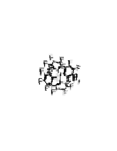 Cc1c(F)c(F)c(F)c(F)c1[B-](c1c(F)c(F)c(F)c(F)c1F)(c1c(F)c(F)c(F)c(F)c1F)c1c(F)c(F)c(F)c(F)c1F